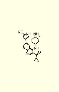 N#Cc1cc(-c2ccc3ncc(C(=O)C4CC4)c(N[C@H]4CC[C@H](N)CC4)c3c2)c[nH]1